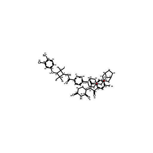 CC1(C)C(NC(=O)c2ccc(N3CCC(CN4CC5CCC(C4)N5c4cc5c(cc4F)C(=O)N(C4CCC(=O)NC4=O)C5=O)CC3)nn2)C(C)(C)C1Oc1ccc(C#N)c(Cl)c1